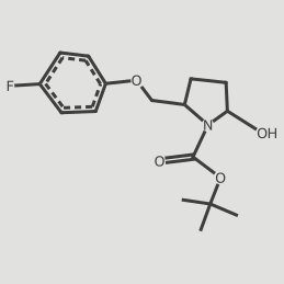 CC(C)(C)OC(=O)N1C(O)CCC1COc1ccc(F)cc1